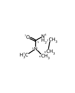 CC.CN(C)C(N)=O